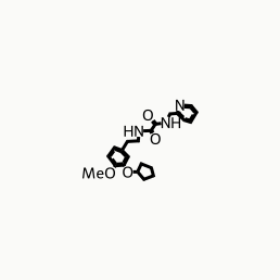 COc1ccc(CCNC(=O)C(=O)NCc2ccccn2)cc1OC1CCCC1